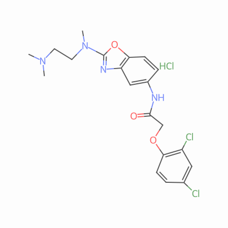 CN(C)CCN(C)c1nc2cc(NC(=O)COc3ccc(Cl)cc3Cl)ccc2o1.Cl